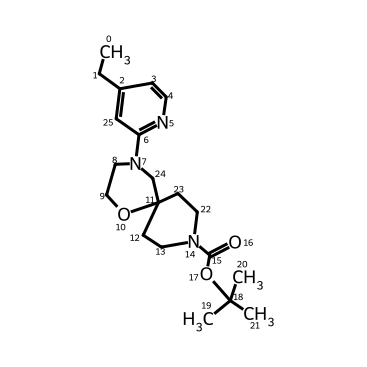 CCc1ccnc(N2CCOC3(CCN(C(=O)OC(C)(C)C)CC3)C2)c1